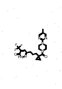 Cc1cnc(N2CCN(C(=O)C3(CCCc4cc(C(F)(F)F)c(=O)[nH]n4)CC3)CC2)nc1